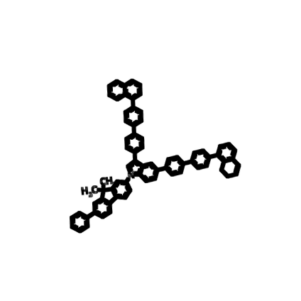 CC1(C)c2cc(-c3ccccc3)ccc2-c2ccc(-n3cc(-c4ccc(-c5ccc(-c6cccc7ccccc67)cc5)cc4)c4cc(-c5ccc(-c6ccc(-c7cccc8c7CCC=C8)cc6)cc5)ccc43)cc21